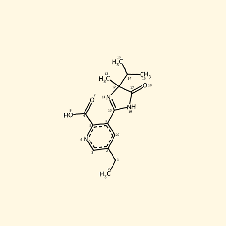 CCc1cnc(C(=O)O)c(C2=NC(C)(C(C)C)C(=O)N2)c1